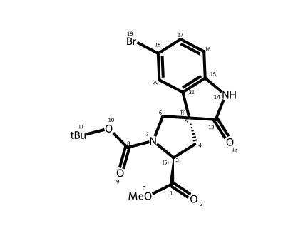 COC(=O)[C@@H]1C[C@@]2(CN1C(=O)OC(C)(C)C)C(=O)Nc1ccc(Br)cc12